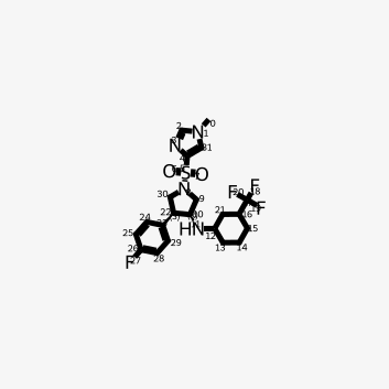 Cn1cnc(S(=O)(=O)N2C[C@H](NC3CCCC(C(F)(F)F)C3)[C@@H](c3ccc(F)cc3)C2)c1